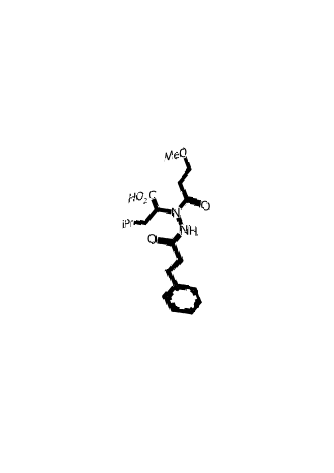 COCCC(=O)N(NC(=O)CCc1ccccc1)C(CC(C)C)C(=O)O